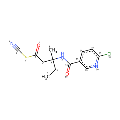 CCC(C)(CC(=O)SC#N)NC(=O)c1ccc(Cl)nc1